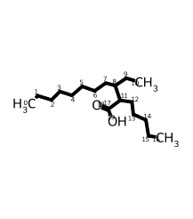 CCCCCCCCC(CC)C(CCCCC)C(=O)O